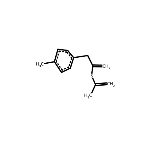 C=C(C)SC(=C)Cc1ccc(C)cc1